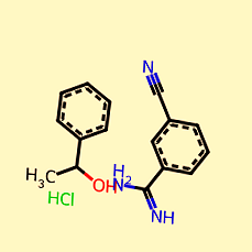 CC(O)c1ccccc1.Cl.N#Cc1cccc(C(=N)N)c1